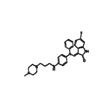 CN1CCN(CCCNc2ccc(N(C=C3C(=O)Nc4cc(F)ccc43)c3ccccc3)cc2)CC1